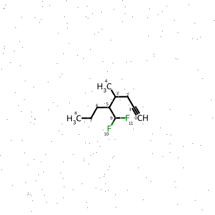 C#CCC(C)C(CCC)C(F)F